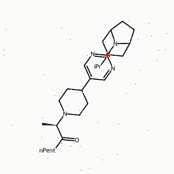 CCCCCC(=O)[C@@H](C)N1CCC(c2cnc(N3C4CCC3CN(C(C)C)C4)nc2)CC1